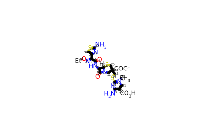 CCON=C(C(=O)NC1C(=O)N2CC(CSc3nc(N)c(C(=O)O)c[n+]3C)(C(=O)[O-])CS[C@H]12)c1csc(N)n1